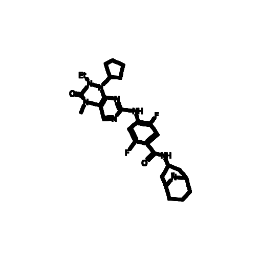 CCN1C(=O)N(C)c2cnc(Nc3cc(F)c(C(=O)NC4CC5CCCC(C4)N5C)cc3F)nc2N1C1CCCC1